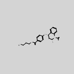 CCC(=O)N1c2ccccc2[C@H](Nc2ccc(C(=O)NCCCNC(=O)O)cc2)C[C@@H]1C